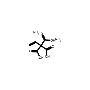 C=CC(C(=O)O)(C(=O)O)C(=O)O.N.N